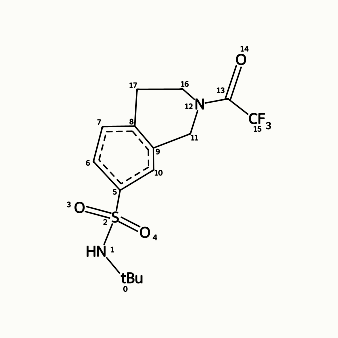 CC(C)(C)NS(=O)(=O)c1ccc2c(c1)CN(C(=O)C(F)(F)F)CC2